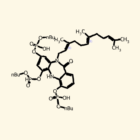 CCCCO[PH](=O)Oc1cc(OP(=O)(O)OCCCC)cc2c1Nc1c(OP(=O)(O)OCCCC)cccc1C(=O)N2C/C=C(\C)CC/C=C(\C)CCC=C(C)C